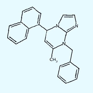 CC1=CC(c2cccc3ccccc23)n2ccnc2N1Cc1ccccc1